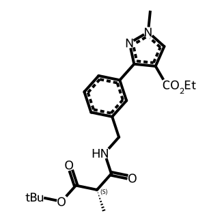 CCOC(=O)c1cn(C)nc1-c1cccc(CNC(=O)[C@H](C)C(=O)OC(C)(C)C)c1